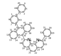 c1ccc(-c2cccc(-c3c4ccccc4c(-c4ccc5ccc6ccc(-c7ccccc7)nc6c5n4)c4ccccc34)c2)cc1